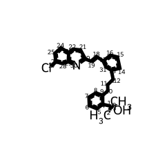 CC(C)(O)c1ccccc1CC[CH]c1cccc(/C=C/c2ccc3ccc(Cl)cc3n2)c1